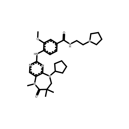 COc1cc(C(=O)NCCN2CCCC2)ccc1Nc1ncc2c(n1)N(C1CCCC1)CC(C)(C)C(=O)N2C